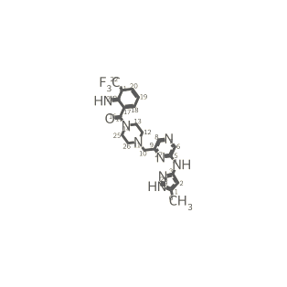 Cc1cc(Nc2cncc(CN3CCN(C(=O)C4=CC=CC(C(F)(F)F)C4=N)CC3)n2)n[nH]1